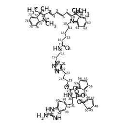 C[N+]1=C(/C=C/C=CC=C2N(CCCCCC(=O)NCCn3cc(CCCOC(=O)NC(Cc4ccc(NC(=N)N)cc4)P(=O)(Oc4ccccc4)Oc4ccccc4)nn3)c3ccccc3C2(C)C)C(C)(C)c2ccccc21